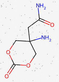 NC(=O)CC1(N)COC(=O)OC1